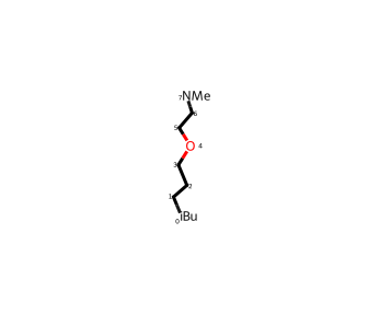 CCC(C)CCCOCCNC